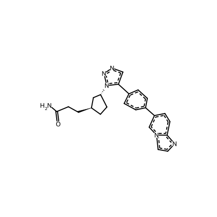 NC(=O)CC[C@@H]1CC[C@@H](n2nncc2-c2ccc(-c3ccc4nccn4c3)cc2)C1